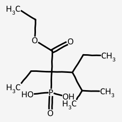 CCOC(=O)C(CC)(C(CC)C(C)C)P(=O)(O)O